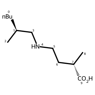 CCCC[C@H](C)CNCC[C@H](C)C(=O)O